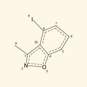 Cc1noc2cccc(I)c12